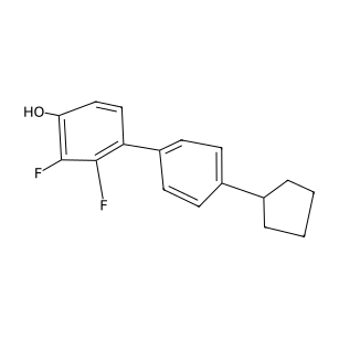 Oc1ccc(-c2ccc(C3CCCC3)cc2)c(F)c1F